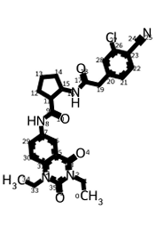 CCn1c(=O)c2cc(NC(=O)C3CCCC3NC(=O)Cc3ccc(C#N)c(Cl)c3)ccc2n(CC)c1=O